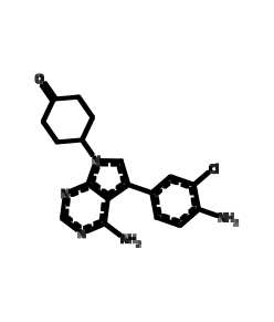 Nc1ccc(-c2cn(C3CCC(=O)CC3)c3ncnc(N)c23)cc1Cl